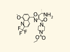 CCOC(=O)N1CCN(C(=O)c2nc(-c3ccc(OC)c4nc(C(F)(F)F)ccc34)oc2[C@H](C)N)CC1